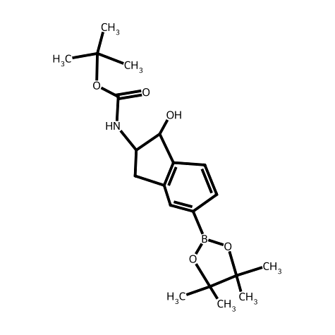 CC(C)(C)OC(=O)NC1Cc2cc(B3OC(C)(C)C(C)(C)O3)ccc2C1O